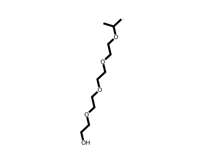 [CH2]C(C)OCCOCCOCCOCCO